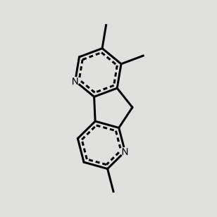 Cc1ccc2c(n1)Cc1c-2ncc(C)c1C